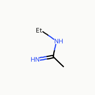 [CH2]CNC(C)=N